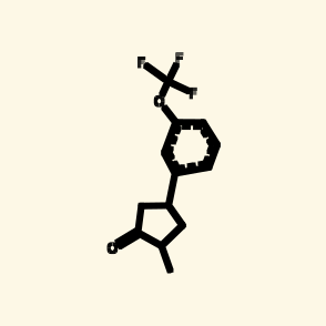 CC1CC(c2cccc(OC(F)(F)F)c2)CC1=O